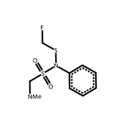 CNCS(=O)(=O)N(SCF)c1ccccc1